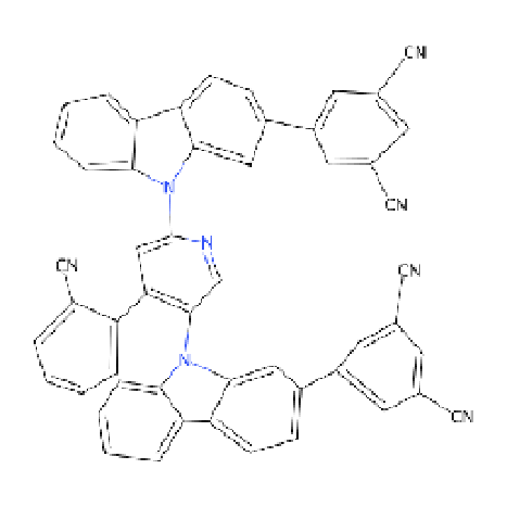 N#Cc1cc(C#N)cc(-c2ccc3c4ccccc4n(-c4cc(-c5ccccc5C#N)c(-n5c6ccccc6c6ccc(-c7cc(C#N)cc(C#N)c7)cc65)cn4)c3c2)c1